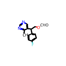 Cc1ncncc1C(COC=O)c1ccc(F)cc1